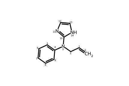 C=CCN(c1ccccc1)c1ncc[nH]1